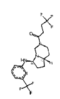 O=C(CCC(F)(F)F)N1CC[C@@H]2CC[C@@H](Nc3cccc(C(F)(F)F)n3)N2C1